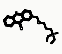 CC[N+](C)(CC)CCCOCc1ccc2sc3ccccc3c(=O)c2c1